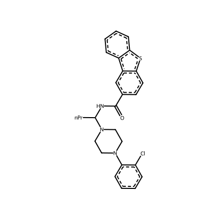 CCCC(NC(=O)c1ccc2sc3ccccc3c2c1)N1CCN(c2ccccc2Cl)CC1